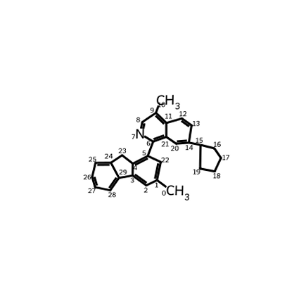 Cc1cc2c(c(-c3ncc(C)c4ccc(C5CCCC5)cc34)c1)Cc1ccccc1-2